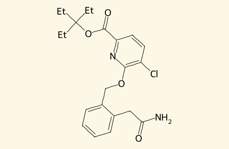 CCC(CC)(CC)OC(=O)c1ccc(Cl)c(OCc2ccccc2CC(N)=O)n1